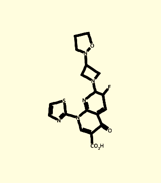 O=C(O)c1cn(-c2nccs2)c2c(c1=O)=CC(F)C(N1CC(N3CCCO3)C1)N=2